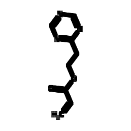 C=CC(=O)OCCc1ncncn1